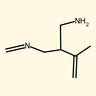 C=NCC(CN)C(=C)C